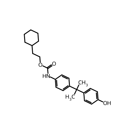 CC(C)(c1ccc(O)cc1)c1ccc(NC(=O)OCCC2CCCCC2)cc1